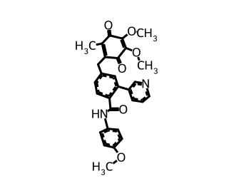 COC1=C(OC)C(=O)C(Cc2ccc(C(=O)Nc3ccc(OC)cc3)c(-c3cccnc3)c2)=C(C)C1=O